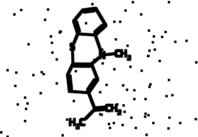 C=C(C)c1ccc2c(c1)N(C)c1ccccc1S2